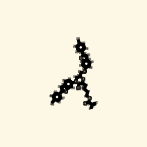 C=C(C)C(=O)OCCCCC(CO)OC(COc1ccc2cc(-c3ccc(C)cc3)oc2c1)COc1ccc2cc(-c3ccc(C)cc3)oc2c1